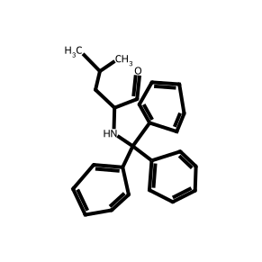 CC(C)CC(C=O)NC(c1ccccc1)(c1ccccc1)c1ccccc1